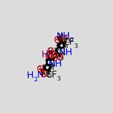 NS(=O)(=O)c1cc2cc(O[PH](=O)Oc3cc4cc(S(N)(=O)=O)c(C(F)(F)F)cc4[nH]c3=O)c(=O)[nH]c2cc1C(F)(F)F